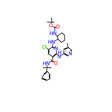 Cc1cncc(Nc2nc(NC3CCCCC3NC(=O)OC(C)(C)C)c(Cl)cc2C(=O)NC(C)(C)c2ccccc2)c1